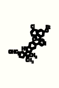 CCOc1cccc([N+]2(Cc3ccc(Cl)cc3)C=NC=C2c2cc3cc([C@]4(N(C)C)CCN(C=O)C4)[nH]c3cc2Cl)c1